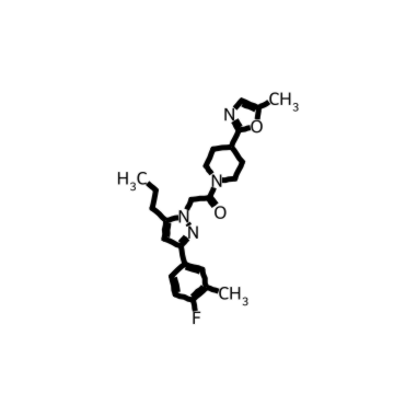 CCCc1cc(-c2ccc(F)c(C)c2)nn1CC(=O)N1CCC(c2ncc(C)o2)CC1